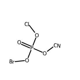 N#COP(=O)(OCl)OBr